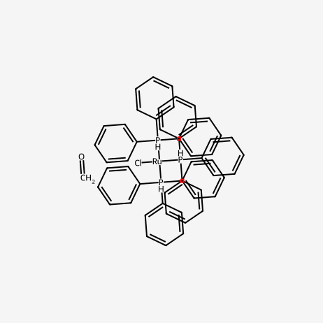 C=O.[Cl][Ru]([PH](c1ccccc1)(c1ccccc1)c1ccccc1)([PH](c1ccccc1)(c1ccccc1)c1ccccc1)[PH](c1ccccc1)(c1ccccc1)c1ccccc1